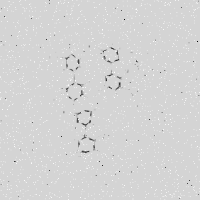 CCCc1cccc(-c2c[n+](C)cc(C)c2I)c1.CCCc1cccc(-c2c[n+](C)cc(C)c2I)c1.CCCc1cccc(-c2c[n+](C)cc(C)c2I)c1.O=P([O-])([O-])[O-]